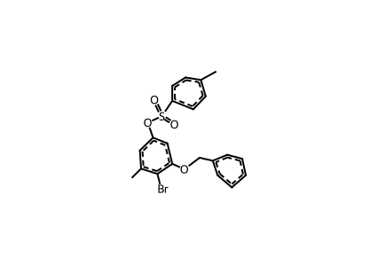 Cc1ccc(S(=O)(=O)Oc2cc(C)c(Br)c(OCc3ccccc3)c2)cc1